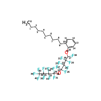 CCCCCCCCCCc1cc[c]cc1OC(F)C(F)(F)C(F)(F)C(F)(F)OC(F)(F)C(F)(F)C(F)(F)C(F)(F)F